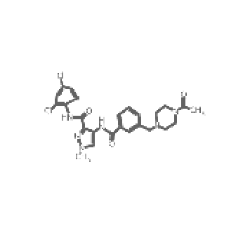 CC(=O)N1CCN(Cc2cccc(C(=O)Nc3cn(C)nc3C(=O)Nc3ccc(Cl)cc3Cl)c2)CC1